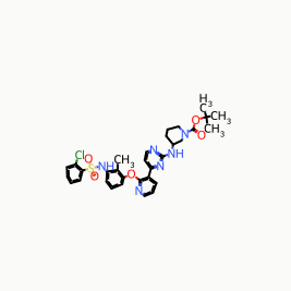 Cc1c(NS(=O)(=O)c2ccccc2Cl)cccc1Oc1ncccc1-c1ccnc(NC2CCCN(C(=O)OC(C)(C)C)C2)n1